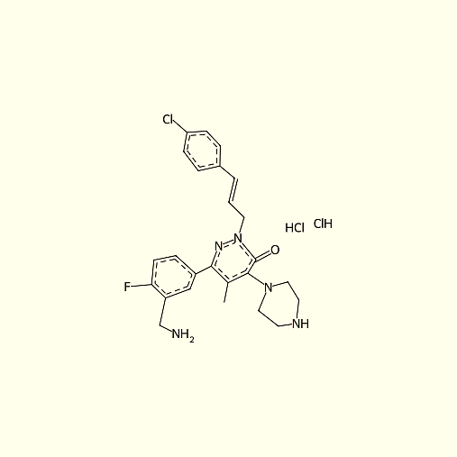 Cc1c(-c2ccc(F)c(CN)c2)nn(CC=Cc2ccc(Cl)cc2)c(=O)c1N1CCNCC1.Cl.Cl